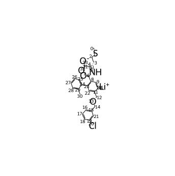 CSCC[C@H](NC(=O)c1ccc(COCc2cccc(Cl)c2)cc1-c1ccccc1C)C(=O)[O-].[Li+]